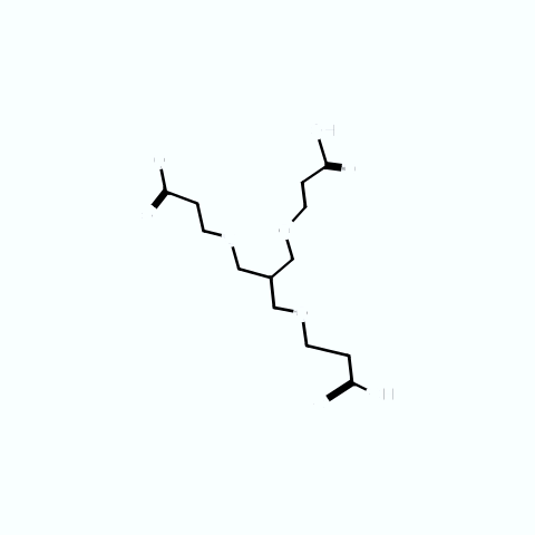 O=C(O)CCOCC(COCCC(=O)O)COCCC(=O)O